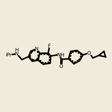 CC(C)NCc1cnc2c(F)c(NC(=O)c3ccc(OCC4CC4)cc3)ccc2c1